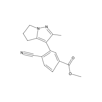 COC(=O)c1ccc(C#N)c(-c2c(C)nn3c2CCC3)c1